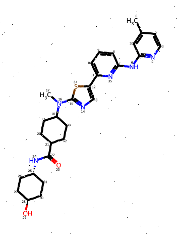 Cc1ccnc(Nc2cccc(-c3cnc(N(C)C4CCC(C(=O)N[C@H]5CC[C@H](O)CC5)CC4)s3)n2)c1